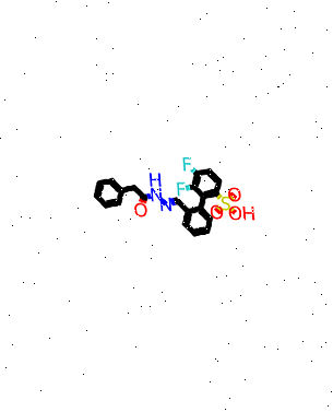 O=C(Cc1ccccc1)NN=Cc1ccccc1-c1c(S(=O)(=O)O)ccc(F)c1F